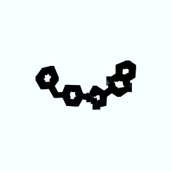 c1ccc(Cc2ccc(-n3cc(-c4cnc5ccccc5n4)cn3)cc2)cc1